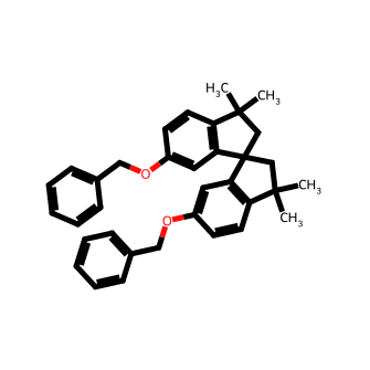 CC1(C)CC2(CC(C)(C)c3ccc(OCc4ccccc4)cc32)c2cc(OCc3ccccc3)ccc21